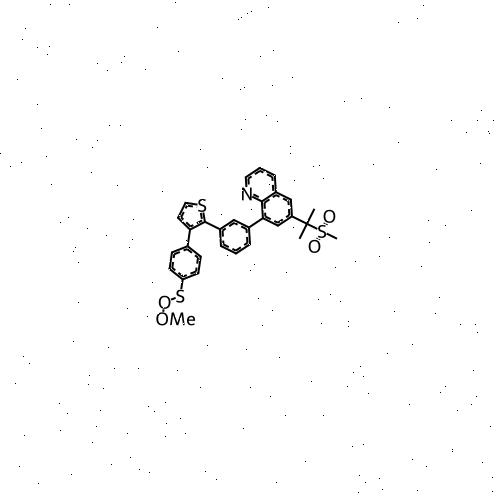 COOSc1ccc(-c2ccsc2-c2cccc(-c3cc(C(C)(C)S(C)(=O)=O)cc4cccnc34)c2)cc1